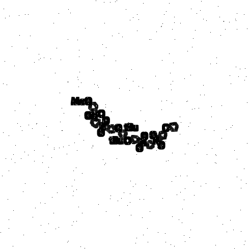 COc1ccc2c(c1)C(=O)N(c1cccc(N3C(=O)c4ccc(Oc5cc(C(C)(C)C)c(Oc6ccc7c(c6)C(=O)N(c6cccc(N8C(=O)c9ccc(Oc%10ccccc%10)cc9C8=O)c6)C7=O)cc5C(C)(C)C)cc4C3=O)c1)C2=O